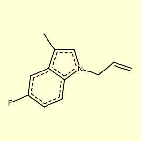 C=CCn1cc(C)c2cc(F)ccc21